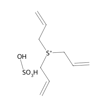 C=CC[S+](CC=C)CC=C.O=S(=O)(O)O